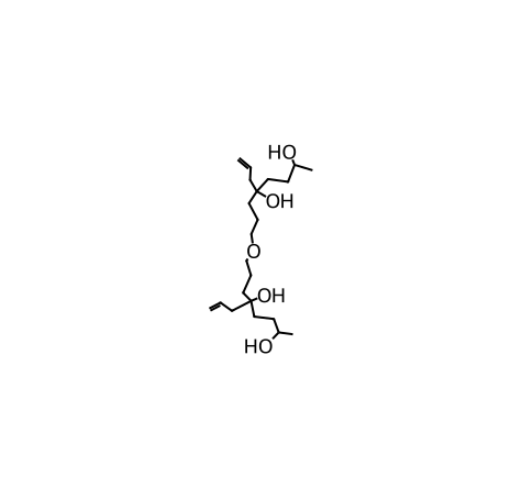 C=CCC(O)(CCCOCCCC(O)(CC=C)CCC(C)O)CCC(C)O